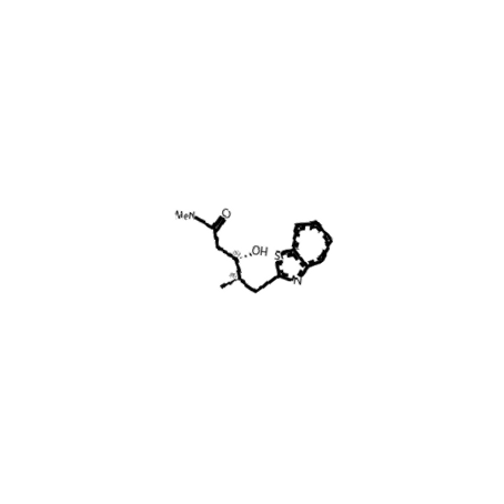 CNC(=O)C[C@H](O)[C@H](C)Cc1nc2ccccc2s1